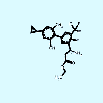 CCOC(=O)C[C@H](N)c1cc(-c2c(C)cc(C3CC3)cc2O)cc(C(F)(F)F)c1F